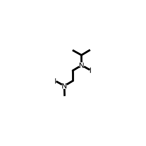 CC(C)N(I)CCN(C)I